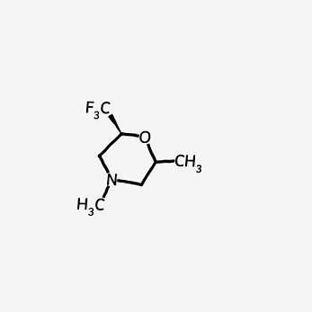 CC1CN(C)C[C@@H](C(F)(F)F)O1